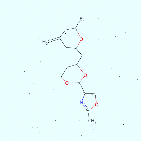 C=C1CC(CC)OC(CC2CCOC(c3coc(C)n3)O2)C1